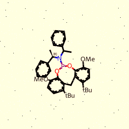 COc1ccc(C(C)(C)C)c2c1OP(N(C(C)c1ccccc1)[C@H](C)c1ccccc1)Oc1c(OC)ccc(C(C)(C)C)c1C2